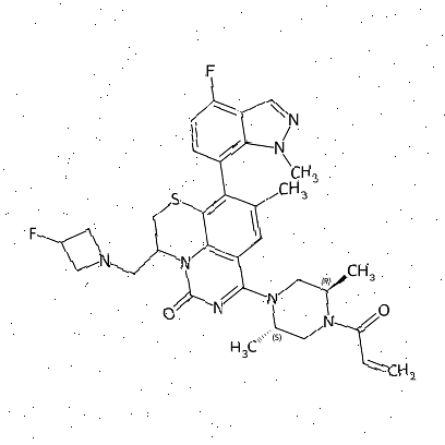 C=CC(=O)N1C[C@H](C)N(c2nc(=O)n3c4c(c(-c5ccc(F)c6cnn(C)c56)c(C)cc24)SCC3CN2CC(F)C2)C[C@H]1C